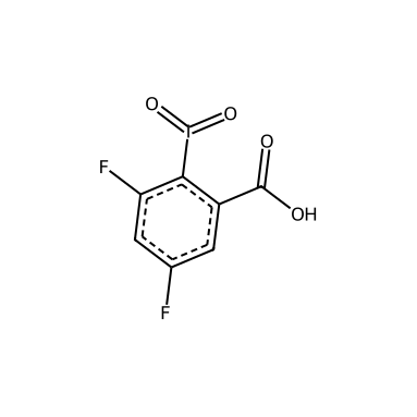 O=C(O)c1cc(F)cc(F)c1I(=O)=O